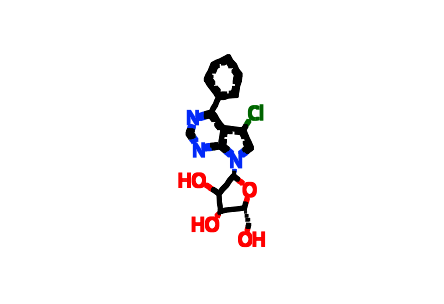 OC[C@H]1O[C@@H](n2cc(Cl)c3c(-c4ccccc4)ncnc32)C(O)[C@@H]1O